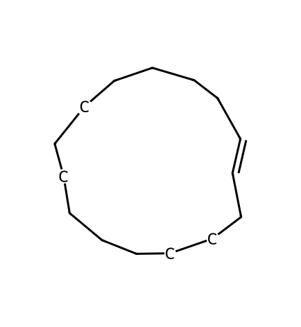 C1=C/CCCCCCCCCCCCC/1